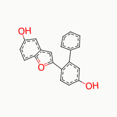 Oc1ccc(-c2cc3cc(O)ccc3o2)c(-c2ccccc2)c1